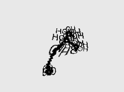 O=C(CCCCCCCCC(=O)ON1C(=O)CCC1=O)NCCO[C@@H]1O[C@H](CO[C@H]2O[C@H](CO)[C@@H](O)[C@H](O)[C@@H]2O)[C@@H](O)[C@H](O[C@H]2O[C@H](CO)[C@@H](O)[C@H](O)[C@@H]2O)[C@@H]1O